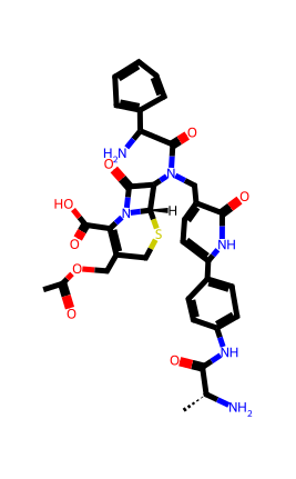 CC(=O)OCC1=C(C(=O)O)N2C(=O)C(N(Cc3ccc(-c4ccc(NC(=O)[C@@H](C)N)cc4)[nH]c3=O)C(=O)C(N)c3ccccc3)[C@@H]2SC1